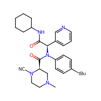 CN1CCN(C#N)[C@@H](C(=O)N(c2ccc(C(C)(C)C)cc2)[C@@H](C(=O)NC2CCCCC2)c2cccnc2)C1